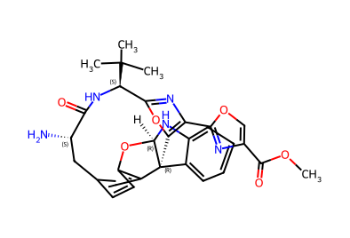 COC(=O)c1coc(-c2nc3oc2[C@@]24c5ccccc5N[C@@H]2Oc2ccc(cc24)C[C@H](N)C(=O)N[C@H]3C(C)(C)C)n1